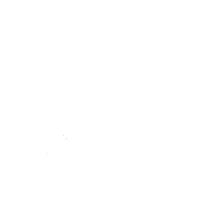 Cc1ccc(CC2(O)CCN(C)CC2)cc1.Cl.Oc1ccc2c(c1)CCC2